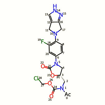 CC(=O)N(C[C@H]1CN(c2ccc(N3Cc4c[nH]nc4C3)c(F)c2)C(=O)O1)C(=O)OCCl